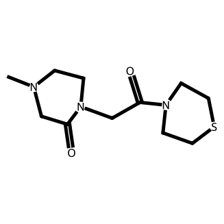 CN1CCN(CC(=O)N2CCSCC2)C(=O)C1